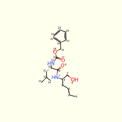 CCCCC(CO)NC(=O)[C@H](CC(C)C)NC(=O)OCc1ccccc1